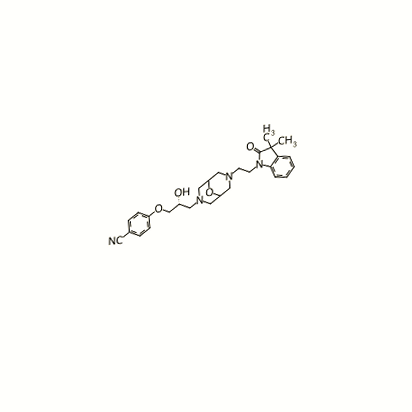 CC1(C)C(=O)N(CCN2CC3CN(C[C@@H](O)COc4ccc(C#N)cc4)CC(C2)O3)c2ccccc21